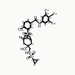 C[C@H]1C[C@H]2C[C@@](O)(CNS(=O)(=O)C3CC3)CC1C2S(=O)(=O)c1cc(C(=O)Nc2cc(F)c(F)c(F)c2)ccc1Cl